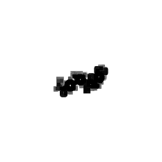 CNC(=O)c1ccc(-c2cc(NC(=O)C3(c4ccc5c(c4)OCO5)CC3)ccc2C)cc1